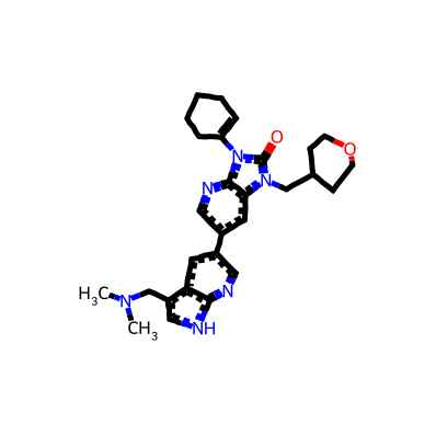 CN(C)Cc1c[nH]c2ncc(-c3cnc4c(c3)n(CC3CCOCC3)c(=O)n4C3=CCCCC3)cc12